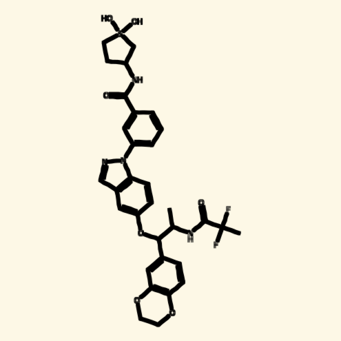 CC(NC(=O)C(C)(F)F)C(Oc1ccc2c(cnn2-c2cccc(C(=O)NC3CCS(O)(O)C3)c2)c1)c1ccc2c(c1)OCCO2